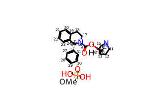 COP(=O)(O)O.O=C(O[C@H]1CN2CCC1CC2)N1CCc2ccccc2[C@H]1c1ccccc1